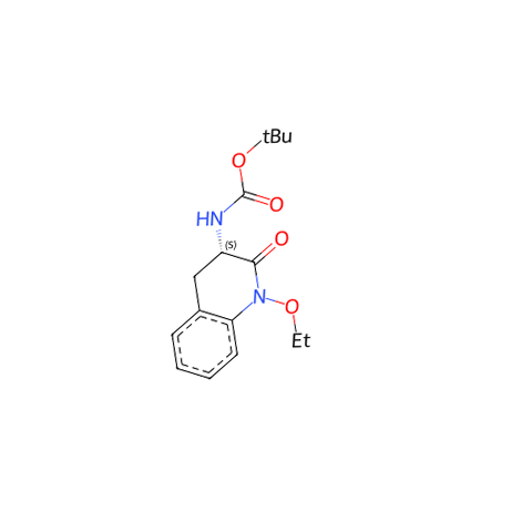 CCON1C(=O)[C@@H](NC(=O)OC(C)(C)C)Cc2ccccc21